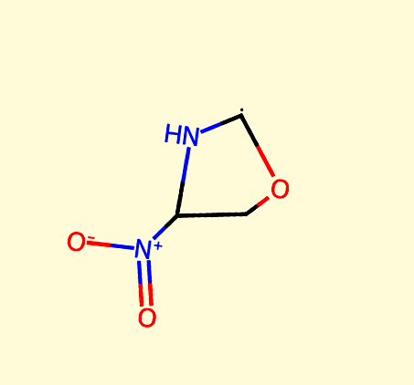 O=[N+]([O-])C1CO[CH]N1